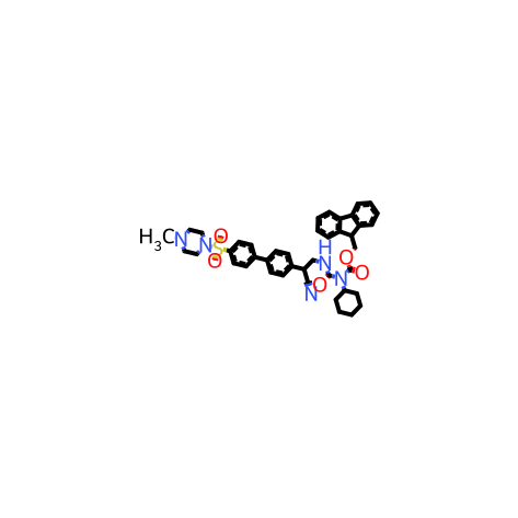 CN1CCN(S(=O)(=O)c2ccc(-c3ccc(C(C#N)CNC(=O)N(C(=O)OCC4c5ccccc5-c5ccccc54)C4CCCCC4)cc3)cc2)CC1